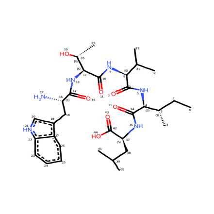 CC[C@H](C)[C@H](NC(=O)[C@@H](NC(=O)[C@@H](NC(=O)[C@@H](N)Cc1c[nH]c2ccccc12)[C@@H](C)O)C(C)C)C(=O)N[C@@H](CC(C)C)C(=O)O